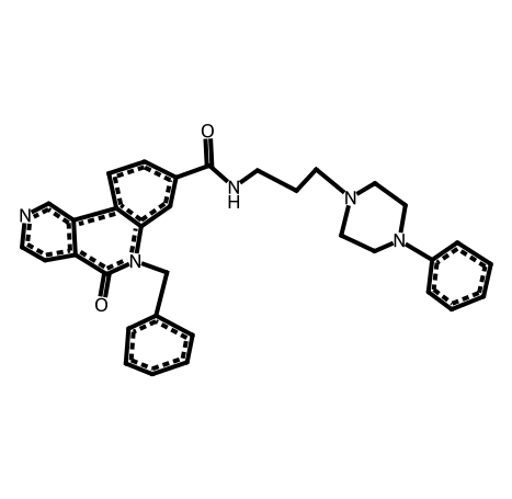 O=C(NCCCN1CCN(c2ccccc2)CC1)c1ccc2c3cnccc3c(=O)n(Cc3ccccc3)c2c1